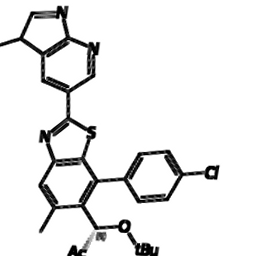 CC(=O)[C@@H](OC(C)(C)C)c1c(C)cc2nc(-c3cnc4c(c3)C(C)C=N4)sc2c1-c1ccc(Cl)cc1